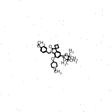 COc1ccc(CN2C(=O)C3(CCC3)c3cc(B4OC(C)(C)C(C)(C)O4)cc(OC4CCN(C)CC4)c32)cc1